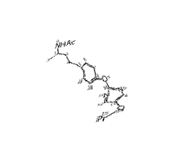 CC(=O)NC(C)CCc1ccc(Oc2ncc(OC(C)C)cn2)cc1